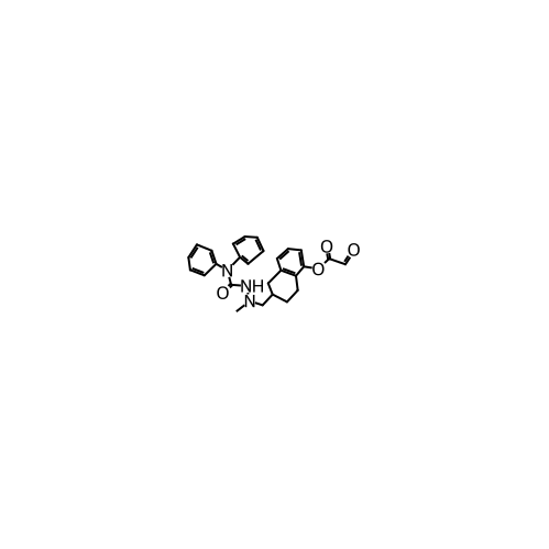 CN(CC1CCc2c(cccc2OC(=O)C=O)C1)NC(=O)N(c1ccccc1)c1ccccc1